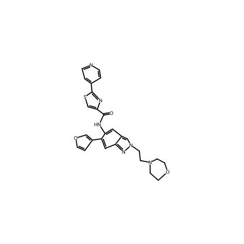 O=C(Nc1cc2cn(CCN3CCOCC3)nc2cc1-c1ccoc1)c1csc(-c2ccncc2)n1